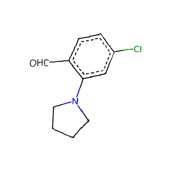 O=Cc1ccc(Cl)cc1N1CCCC1